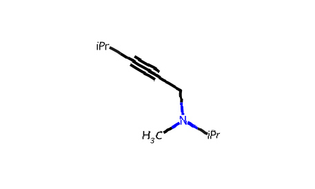 CC(C)C#CCN(C)C(C)C